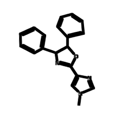 Cn1cnc(C2=NC(c3ccccc3)C(c3ccccc3)O2)c1